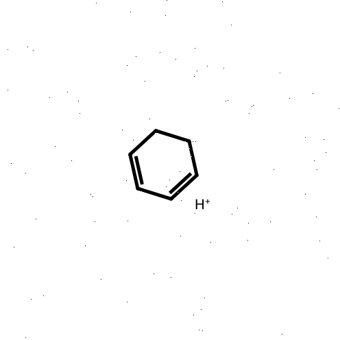 C1=CCCC=C1.[H+]